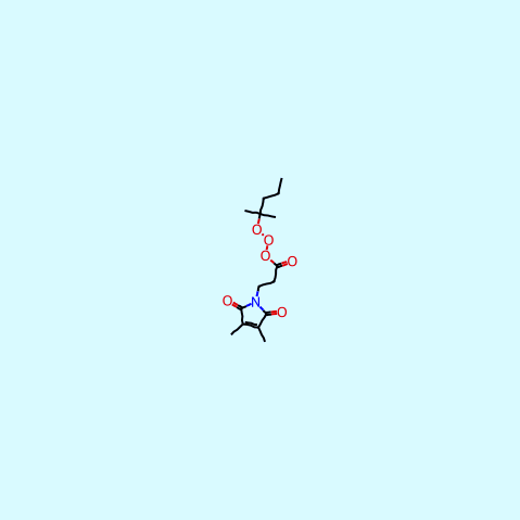 CCCC(C)(C)OOOC(=O)CCN1C(=O)C(C)=C(C)C1=O